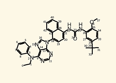 CCN(c1ccccc1)c1ncnc2c1ncn2-c1ccc(NC(=O)Nc2cc(C(C)(C)C)ccc2OC)c2ccccc12